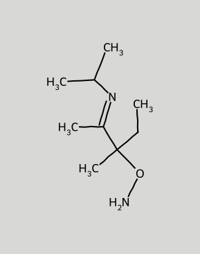 CCC(C)(ON)C(C)=NC(C)C